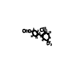 O=Cc1ccc(-c2cc(C(F)(F)F)ccc2Cl)cc1